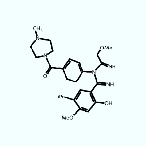 COCC(=N)N(C(=N)c1cc(C(C)C)c(OC)cc1O)C1=CC=C(C(=O)N2CCN(C)CC2)CC1